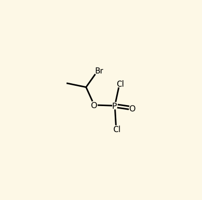 CC(Br)OP(=O)(Cl)Cl